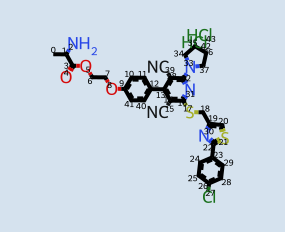 CC(N)C(=O)OCCOc1ccc(-c2c(C#N)c(SCc3csc(-c4ccc(Cl)cc4)n3)nc(N3CCCC3)c2C#N)cc1.Cl.Cl